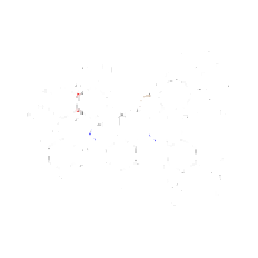 Cc1cc2c3c(c1)N(c1ccc4c(c1)C(C)(C)CCC4(C)C)c1c(sc4cc5c(cc14)C(C)(C)CCC5(C)C)B3c1cc(C(C)(C)C)ccc1N2c1ccccc1-c1ccccc1C